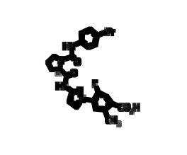 Cc1cc(-n2ccc(NC(=O)[C@H]3CCCN3C(=O)Nc3ccc(C(C)C)cc3)n2)c(F)cc1C(=O)O